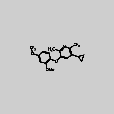 COc1cc(OC(F)(F)F)ccc1Oc1cc(C2CC2)c(C(F)(F)F)nc1C